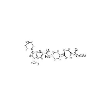 Cc1nn(C2CCOCC2)c2sc(C(=O)N[C@H]3CC[C@H](N4CCN(C(=O)OC(C)(C)C)CC4)CC3)cc12